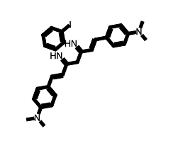 CN(C)c1ccc(C=CC(=N)CC(=N)C=Cc2ccc(N(C)C)cc2)cc1.Ic1ccccc1